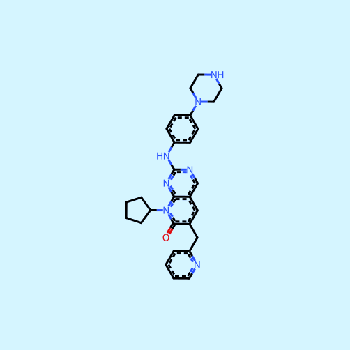 O=c1c(Cc2ccccn2)cc2cnc(Nc3ccc(N4CCNCC4)cc3)nc2n1C1CCCC1